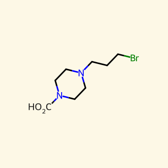 O=C(O)N1CCN(CCCBr)CC1